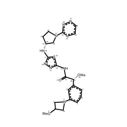 COC1CN(c2cccc([C@@H](OC)C(=O)Nc3nnc(N[C@@H]4CCN(c5nccnn5)C4)s3)c2)C1